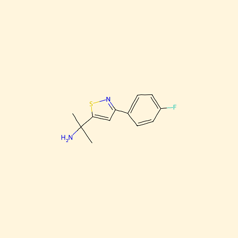 CC(C)(N)c1cc(-c2ccc(F)cc2)ns1